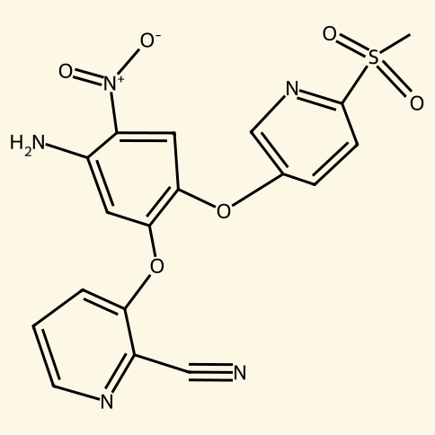 CS(=O)(=O)c1ccc(Oc2cc([N+](=O)[O-])c(N)cc2Oc2cccnc2C#N)cn1